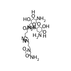 CC(=O)N(CCCn1cc(CCC(=O)NCC2OC(OC3C(N)CC(N)C(O)C3O)C(N)C(O)C2O)nn1)CC(N)=O